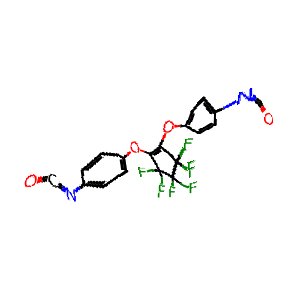 O=C=Nc1ccc(OC2=C(Oc3ccc(N=C=O)cc3)C(F)(F)C(F)(F)C2(F)F)cc1